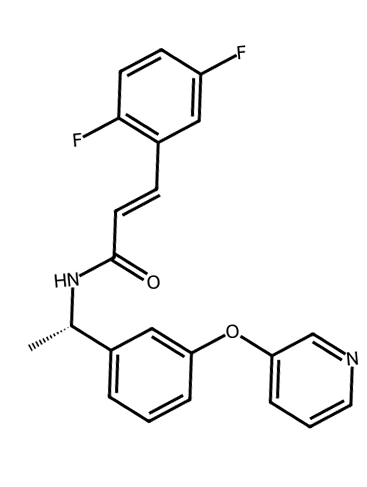 C[C@H](NC(=O)/C=C/c1cc(F)ccc1F)c1cccc(Oc2cccnc2)c1